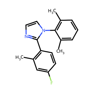 Cc1cc(F)ccc1-c1nccn1-c1c(C)cccc1C